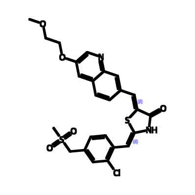 COCCOc1cnc2cc(/C=c3\s/c(=C\c4ccc(CS(C)(=O)=O)cc4Cl)[nH]c3=O)ccc2c1